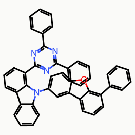 c1ccc(-c2nc(-c3ccccc3)nc(-c3cccc4c5ccccc5n(-c5ccc6oc7c(-c8ccccc8)cccc7c6c5)c34)n2)cc1